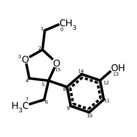 CCC1OCC(CC)(c2cccc(O)c2)O1